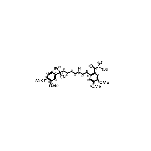 CCN(C(=O)c1cc(OC)c(OC)cc1CCNCCCCC(C#N)(c1ccc(OC)c(OC)c1)C(C)C)C(C)(C)C